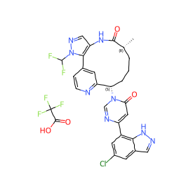 C[C@@H]1CCC[C@H](n2cnc(-c3cc(Cl)cc4cn[nH]c34)cc2=O)c2cc(ccn2)-c2c(cnn2C(F)F)NC1=O.O=C(O)C(F)(F)F